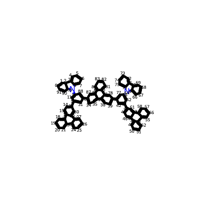 C1=CC2c3ccccc3N(c3cc(-c4ccc5c6ccccc6c6ccccc6c5c4)cc(-c4ccc5c6ccc(-c7cc(-c8ccc9c%10ccccc%10c%10ccccc%10c9c8)cc(-n8c9ccccc9c9ccccc98)c7)cc6c6ccccc6c5c4)c3)C2C=C1